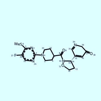 CSc1nc(N2CCC(C(=O)N3OCC[C@H]3C3=CC(=O)CN=C3)CC2)ncc1F